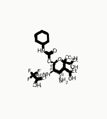 CCC(O)C1[C@H](N)[C@@H](NC(C)=O)[C@@H](OC(=O)NC2CCCCC2)OC1(C(=O)O)C(O)CC.O=C(O)C(F)(F)F